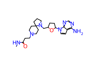 CNC(=O)CCN1CCC2(CCCN2CC2CCC(n3ccc4c(N)ncnc43)O2)CC1